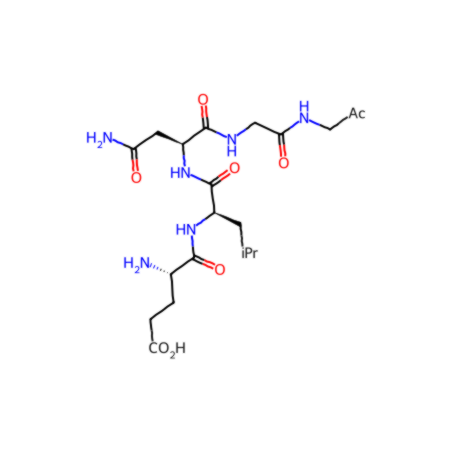 CC(=O)CNC(=O)CNC(=O)[C@H](CC(N)=O)NC(=O)[C@@H](CC(C)C)NC(=O)[C@@H](N)CCC(=O)O